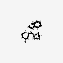 c1ccc2c([C@@H]([C@H]3CCCNC3)n3ncnn3)csc2c1